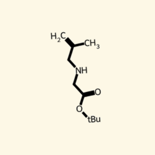 C=C(C)CNCC(=O)OC(C)(C)C